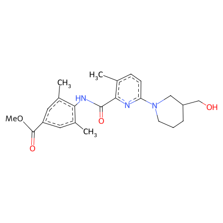 COC(=O)c1cc(C)c(NC(=O)c2nc(N3CCCC(CO)C3)ccc2C)c(C)c1